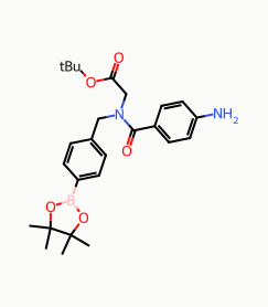 CC(C)(C)OC(=O)CN(Cc1ccc(B2OC(C)(C)C(C)(C)O2)cc1)C(=O)c1ccc(N)cc1